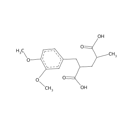 COc1ccc(CC(CC(C)C(=O)O)C(=O)O)cc1OC